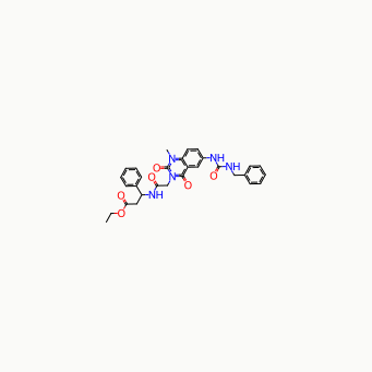 CCOC(=O)CC(NC(=O)Cn1c(=O)c2cc(NC(=O)NCc3ccccc3)ccc2n(C)c1=O)c1ccccc1